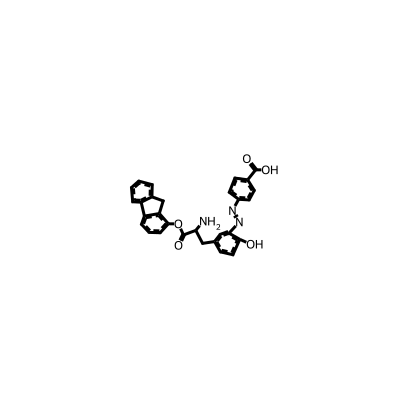 NC(Cc1ccc(O)c(N=Nc2ccc(C(=O)O)cc2)c1)C(=O)Oc1cccc2c1Cc1ccccc1-2